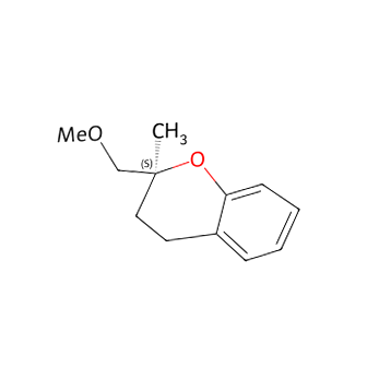 COC[C@]1(C)CCc2ccccc2O1